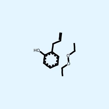 C=CCc1ccccc1O.CCOOCC